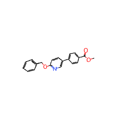 COC(=O)c1ccc(-c2ccc(OCc3ccccc3)nc2)cc1